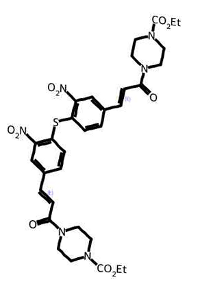 CCOC(=O)N1CCN(C(=O)/C=C/c2ccc(Sc3ccc(/C=C/C(=O)N4CCN(C(=O)OCC)CC4)cc3[N+](=O)[O-])c([N+](=O)[O-])c2)CC1